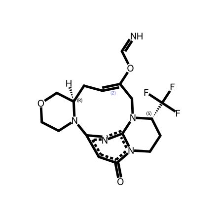 N=CO/C1=C\C[C@@H]2COCCN2c2cc(=O)n3c(n2)N(C1)[C@H](C(F)(F)F)CC3